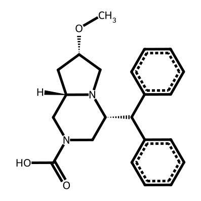 CO[C@H]1C[C@H]2CN(C(=O)O)C[C@@H](C(c3ccccc3)c3ccccc3)N2C1